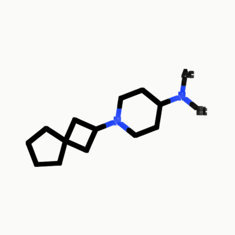 CCN(C(C)=O)C1CCN(C2CC3(CCCC3)C2)CC1